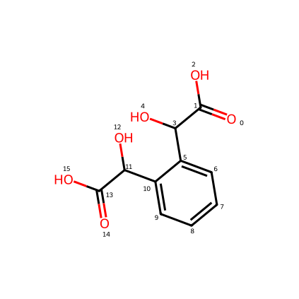 O=C(O)C(O)c1ccccc1C(O)C(=O)O